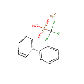 O=S(=O)(O)C(F)(F)F.S.c1ccc(-c2ccccc2)cc1